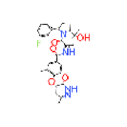 Cc1cc(Oc2ccc(C(=O)N[C@H](C)C(=O)N3C(c4cccc(F)c4)CCC3C(C)(C)O)cc2C)c(=O)[nH]n1